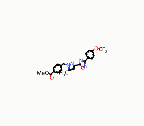 COC(=O)c1ccc(Cn2nc(-c3nc(-c4ccc(OC(F)(F)F)cc4)no3)cc2C)cc1